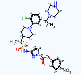 CC(c1ccc(Cl)c(N2CCC(C(C)S(=O)(=O)Nc3ccn(C(=O)Oc4ccc([N+](=O)[O-])cc4)n3)CC2)c1)N1CCNCC1